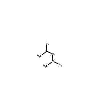 CC(C)C(C)NN(C)C